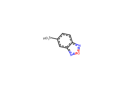 O=S(=O)(O)c1ccc2nonc2c1